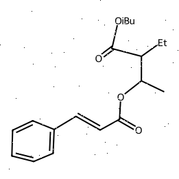 CCC(C(=O)OCC(C)C)C(C)OC(=O)C=Cc1ccccc1